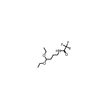 CCOC(CCCNC(=O)C(F)(F)F)OCC